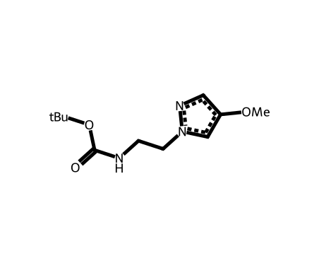 COc1cnn(CCNC(=O)OC(C)(C)C)c1